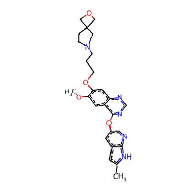 COc1cc2c(Oc3cnc4[nH]c(C)cc4c3)ncnc2cc1OCCCN1CCC2(COC2)C1